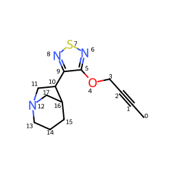 CC#CCOc1nsnc1C1CN2CCCC1C2